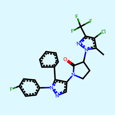 Cc1c(Cl)c(C(F)(F)F)nn1C1CCN(c2cnn(-c3ccc(F)cc3)c2-c2ccccc2)C1=O